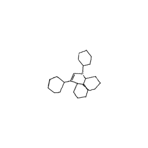 C(=C(C1CCCCC1)C1CCCCC1)P(C1CCCCC1)C1CCCCC1